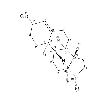 CC[C@H]1CC[C@H]2[C@@H]3CCC4=CC(C=O)CC[C@]4(C)[C@H]3CC[C@]12C